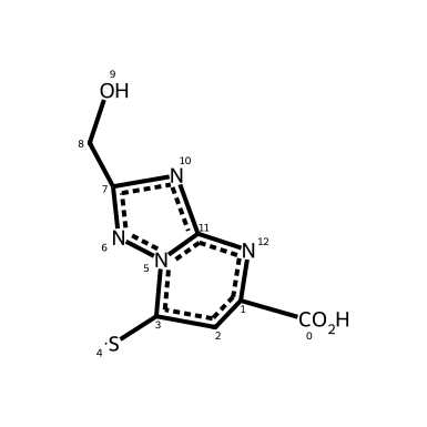 O=C(O)c1cc([S])n2nc(CO)nc2n1